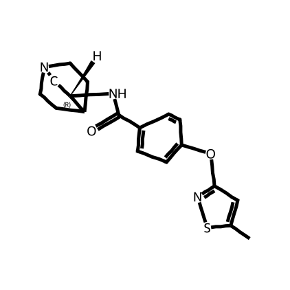 Cc1cc(Oc2ccc(C(=O)N[C@H]3CN4CCC3CC4)cc2)ns1